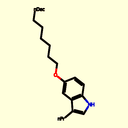 CCCCCCCCCCCCCCCCOc1ccc2[nH]cc(CCC)c2c1